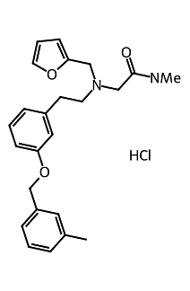 CNC(=O)CN(CCc1cccc(OCc2cccc(C)c2)c1)Cc1ccco1.Cl